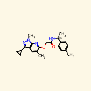 Cc1ccc([C@H](C)NC(=O)COc2nc3c(cc2C)c(C2CC2)nn3C)cc1